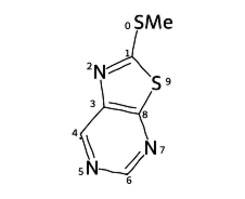 CSc1nc2[c]ncnc2s1